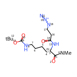 CNC(=O)[C@H](CCCCNC(=O)OC(C)(C)C)NC(=O)CCN=[N+]=[N-]